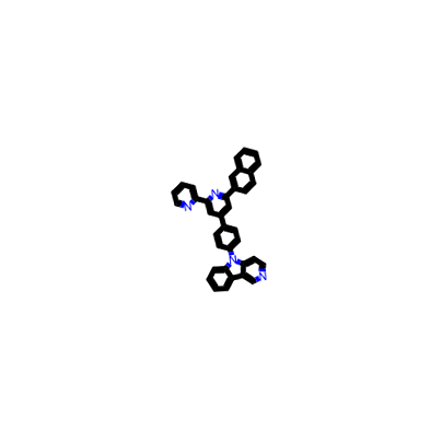 c1ccc(-c2cc(-c3ccc(-n4c5ccccc5c5cnccc54)cc3)cc(-c3ccc4ccccc4c3)n2)nc1